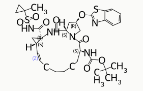 CC(C)(C)OC(=O)N[C@H]1CCCCC/C=C\[C@@H]2C[C@@]2(C(=O)NS(=O)(=O)C2(C)CC2)NC(=O)[C@@H]2C[C@@H](Oc3nc4ccccc4s3)CN2C1=O